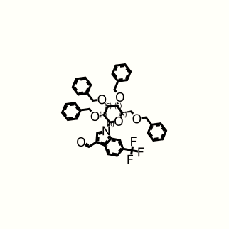 O=Cc1cn([C@@H]2O[C@H](COCc3ccccc3)[C@@H](OCc3ccccc3)[C@H](OCc3ccccc3)[C@H]2OCc2ccccc2)c2cc(C(F)(F)F)ccc12